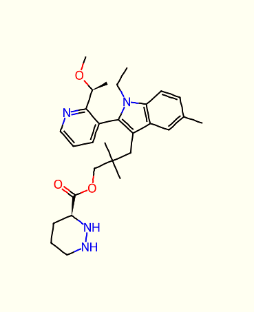 CCn1c(-c2cccnc2[C@H](C)OC)c(CC(C)(C)COC(=O)[C@@H]2CCCNN2)c2cc(C)ccc21